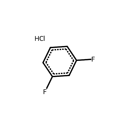 Cl.Fc1cccc(F)c1